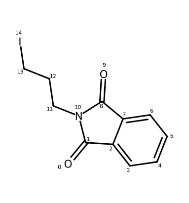 O=C1c2ccccc2C(=O)N1CCCI